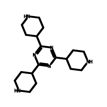 C1CC(c2nc(C3CCNCC3)nc(C3CCNCC3)n2)CCN1